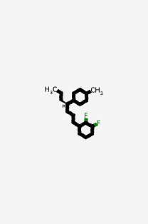 CCC[C@H](CCCC1CCCC(F)C1F)C1CCC(C)CC1